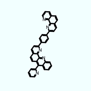 c1ccc(-c2c3ccccc3nc3c2ccc2ccc(-c4ccc(-c5ccc6ccc7cccnc7c6n5)cc4)nc23)nc1